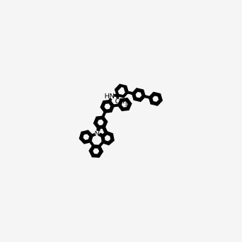 CC1(Nc2ccc(-c3ccc4c(c3)c3cccc5c3n4-c3ccccc3-c3ccccc3-5)cc2-c2ccccc2)C=CC=C(c2ccc(-c3ccccc3)cc2)C1